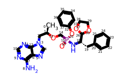 C[C@H](Cn1cnc2c(N)ncnc21)OCP(=O)(N[C@@H](Cc1ccccc1)C1OCCO1)Oc1ccccc1